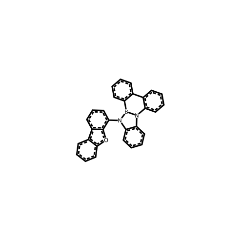 c1ccc2c(c1)B1N(c3ccccc3-2)c2ccccc2N1c1cccc2c1oc1ccccc12